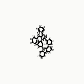 c1ccc(-c2nc3c4ccccc4nc(-c4ccccn4)c3n2-c2cccc(-n3c4ccccc4c4ccccc43)c2)cc1